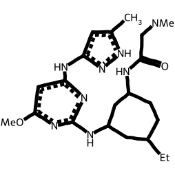 CCC1CCC(NC(=O)CNC)CC(Nc2nc(Nc3cc(C)[nH]n3)cc(OC)n2)C1